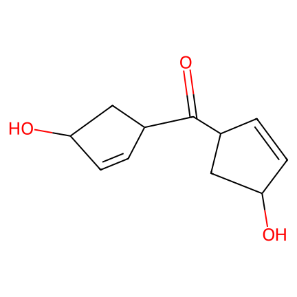 O=C(C1C=CC(O)C1)C1C=CC(O)C1